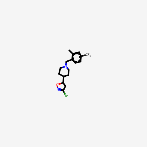 Cc1cc(C(F)(F)F)ccc1CN1CCC(C2CC(Br)=NO2)CC1